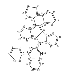 c1ccc(-c2nc(-n3c4ccccc4c4c5c6ccccc6c6ccccc6c5c5ccccc5c43)nc3ccccc23)cc1